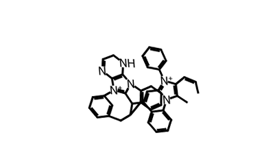 C/C=C\c1c(C)n2c3ccccc3c(C3c4n5c6c([n+]4-c4cccc(c4)CC3C3=C5CCC=C3)N=CCN6)cc2[n+]1-c1ccccc1